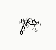 CC(C)=CC1C(C)(C)C1(C)C(=O)Oc1coc(Cc2ccccc2)c1